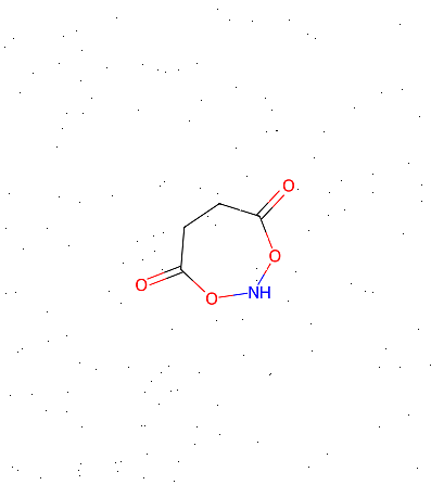 O=C1CCC(=O)ONO1